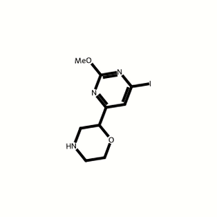 COc1nc(I)cc(C2CNCCO2)n1